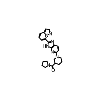 O=C(C1CCCN(c2ccc3nc(-c4cccc5ccnn45)[nH]c3n2)C1)N1CCCC1